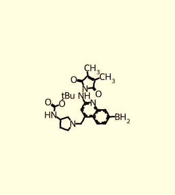 Bc1ccc2c(CN3CCC(NC(=O)OC(C)(C)C)C3)cc(NN3C(=O)C(C)=C(C)C3=O)nc2c1